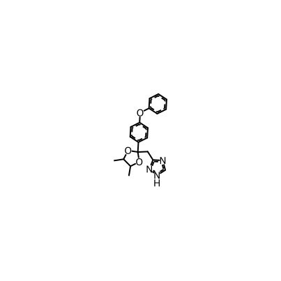 CC1OC(Cc2nc[nH]n2)(c2ccc(Oc3ccccc3)cc2)OC1C